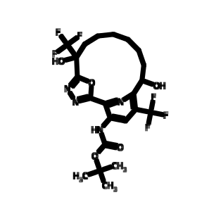 CC(C)(C)OC(=O)Nc1cc(C(F)(F)F)c2nc1-c1nnc(o1)C(O)(C(F)(F)F)CCCCCCC2O